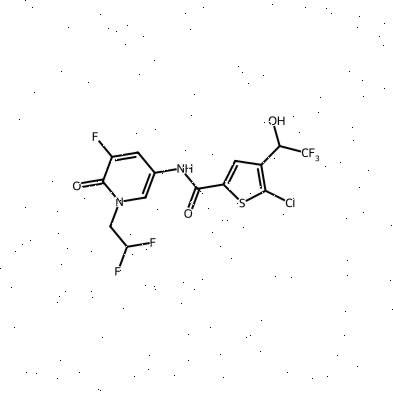 O=C(Nc1cc(F)c(=O)n(CC(F)F)c1)c1cc(C(O)C(F)(F)F)c(Cl)s1